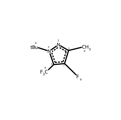 Cc1nn(C(C)(C)C)c(C(F)(F)F)c1F